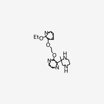 CCOc1ncccc1OCCOc1nccnc1C1(C)CNCCN1